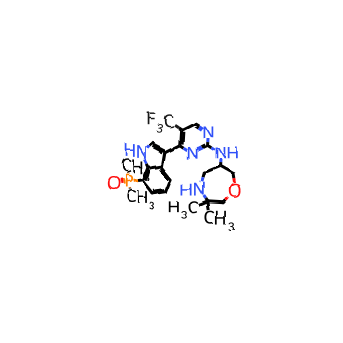 CC1(C)COCC(Nc2ncc(C(F)(F)F)c(-c3c[nH]c4c(P(C)(C)=O)cccc34)n2)CN1